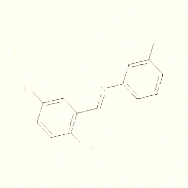 [CH2]c1cccc(/N=C/c2cc(O)ccc2O)c1